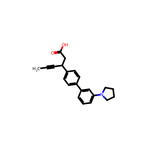 CC#CC(CC(=O)O)c1ccc(-c2cccc(N3CCCC3)c2)cc1